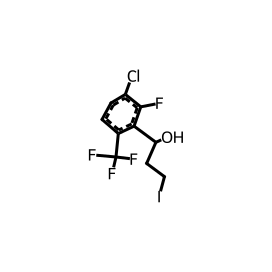 OC(CCI)c1c(C(F)(F)F)ccc(Cl)c1F